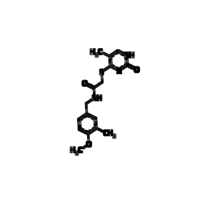 COc1ccc(CNC(=O)CSc2nc(=O)[nH]cc2C)cc1C